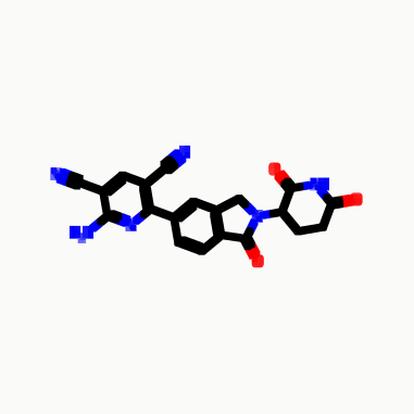 N#Cc1cc(C#N)c(-c2ccc3c(c2)CN(C2CCC(=O)NC2=O)C3=O)nc1N